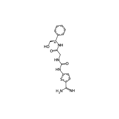 N=C(N)c1ccc(NC(=O)NCC(=O)N[C@@H](CO)c2ccccc2)s1